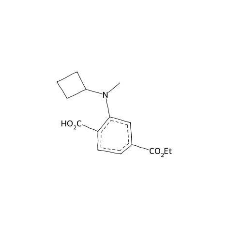 CCOC(=O)c1ccc(C(=O)O)c(N(C)C2CCC2)c1